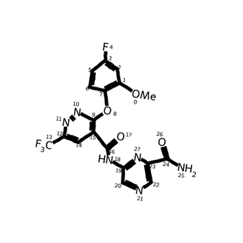 COc1cc(F)ccc1Oc1nnc(C(F)(F)F)cc1C(=O)Nc1cncc(C(N)=O)n1